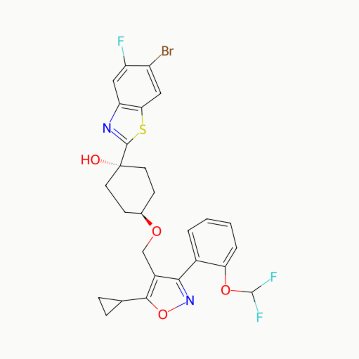 O[C@]1(c2nc3cc(F)c(Br)cc3s2)CC[C@@H](OCc2c(-c3ccccc3OC(F)F)noc2C2CC2)CC1